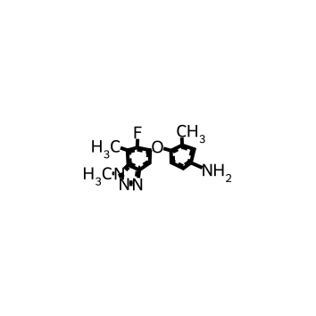 Cc1cc(N)ccc1Oc1cc2nnn(C)c2c(C)c1F